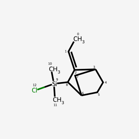 CC=C1C2CCC(C2)C1[Si](C)(C)Cl